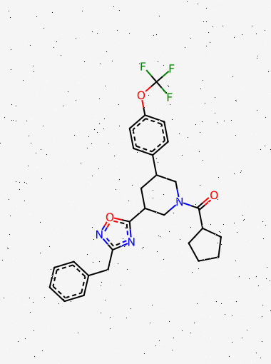 O=C(C1CCCC1)N1CC(c2ccc(OC(F)(F)F)cc2)CC(c2nc(Cc3ccccc3)no2)C1